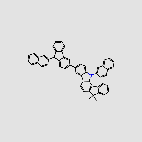 CC1(C)c2ccccc2-c2c1ccc1c3cc(-c4ccc5c(c4)-c4ccccc4C5c4ccc5ccccc5c4)ccc3n(-c3ccc4ccccc4c3)c21